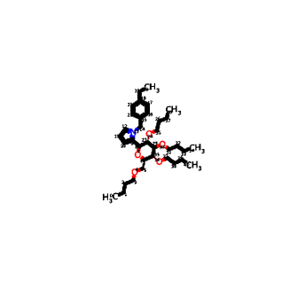 CCCCOC[C@H]1OC(c2cccn2Cc2ccc(CC)cc2)[C@H](OCCCC)C(OCCCC)[C@@H]1OCCCC